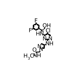 CNC(=O)Cn1cc(Nc2ncc(Cl)c(N[C@H](CO)c3cc(F)cc(F)c3)n2)cn1